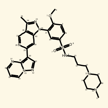 COc1ccc(S(=O)(=O)NCCCN2CCN(C)CC2)cc1-n1nc(C)c2cnc(-c3cnn4cccnc34)cc21